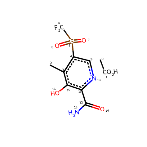 CC(=O)O.Cc1c(S(=O)(=O)C(F)(F)F)cnc(C(N)=O)c1O